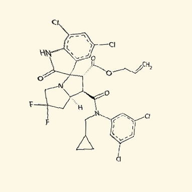 C=CCOC(=O)[C@@H]1[C@@H](C(=O)N(CC2CC2)c2cc(Cl)cc(Cl)c2)[C@H]2CC(F)(F)CN2C12C(=O)Nc1c(Cl)cc(Cl)cc12